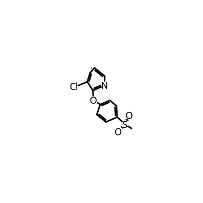 CS(=O)(=O)c1ccc(Oc2nc[c]cc2Cl)cc1